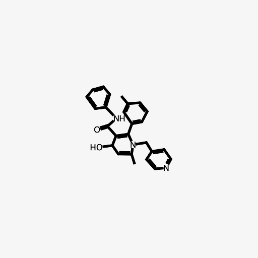 CC1=CC(O)C(C(=O)Nc2ccccc2)=C(c2cccc(C)c2)N1Cc1ccncc1